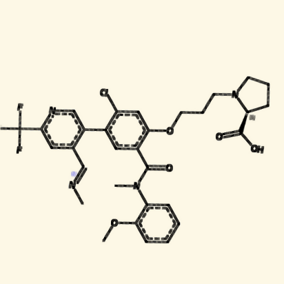 C/N=C/c1cc(C(F)(F)F)ncc1-c1cc(C(=O)N(C)c2ccccc2OC)c(OCCCN2CCC[C@H]2C(=O)O)cc1Cl